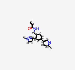 C=CC(=O)NCc1ccc(-c2ccc(C)nc2)cc1-c1ccn(C)n1